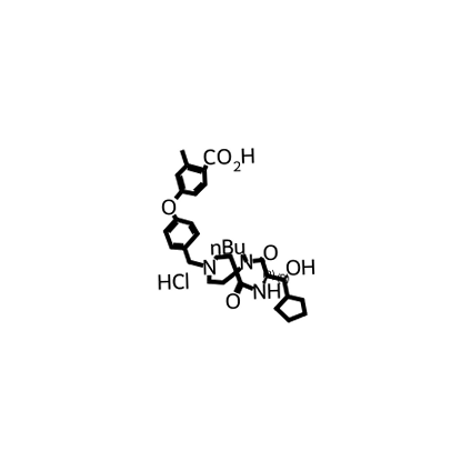 CCCCN1C(=O)[C@@H]([C@H](O)C2CCCC2)NC(=O)C12CCN(Cc1ccc(Oc3ccc(C(=O)O)c(C)c3)cc1)CC2.Cl